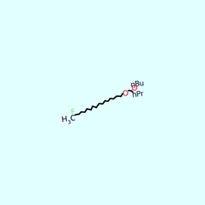 CCCCOC(CCC)COCCCCCCCCCCCCCCCCC(C)F